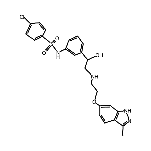 Cc1n[nH]c2cc(OCCNCC(O)c3cccc(NS(=O)(=O)c4ccc(Cl)cc4)c3)ccc12